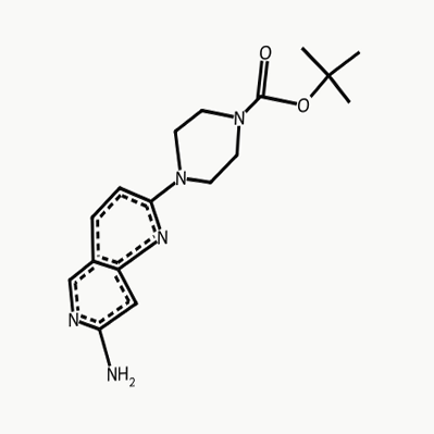 CC(C)(C)OC(=O)N1CCN(c2ccc3cnc(N)cc3n2)CC1